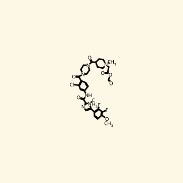 COc1ccc(-c2cnc(C(=O)Nc3ccc(C(=O)N4CCN(C(=O)C5CC[N+](C)(CC(=O)OC=O)CC5)CC4)c(Cl)c3)n2C)c(F)c1F